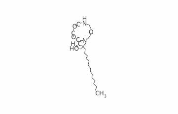 CCCCCCCCCCCCCCCC(C)(CO)CN1CCOCCNCCOCCOCC1